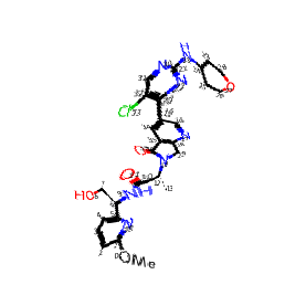 COc1cccc([C@@H](CO)NC(=O)[C@@H](C)N2Cc3ncc(-c4nc(NC5CCOCC5)ncc4Cl)cc3C2=O)n1